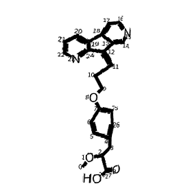 COC(Cc1ccc(OCC/C=C2/c3cnccc3-c3cccnc32)cc1)C(=O)O